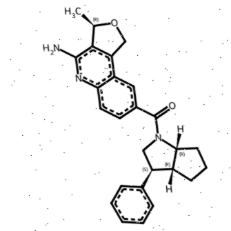 C[C@H]1OCc2c1c(N)nc1ccc(C(=O)N3C[C@H](c4ccccc4)[C@H]4CCC[C@H]43)cc21